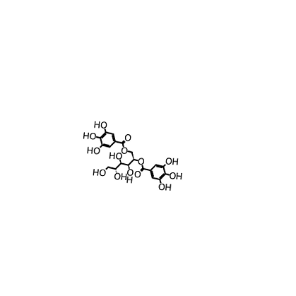 O=C(OC[C@@H](OC(=O)c1cc(O)c(O)c(O)c1)[C@@H](O)[C@H](O)[C@H](O)CO)c1cc(O)c(O)c(O)c1